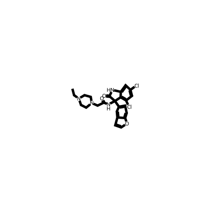 CCN1CCN(CC(=O)NC2(c3ccc4occc4c3)C(=O)Nc3cc(Cl)cc(Cl)c32)CC1